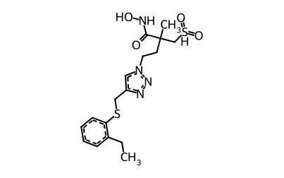 CCc1ccccc1SCc1cn(CCC(C)(C[SH](=O)=O)C(=O)NO)nn1